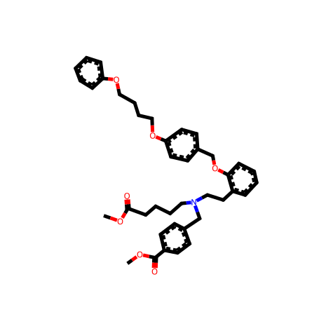 COC(=O)CCCCN(CCc1ccccc1OCc1ccc(OCCCCOc2ccccc2)cc1)Cc1ccc(C(=O)OC)cc1